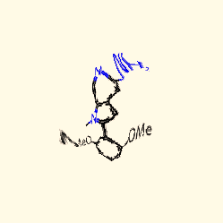 COc1cccc(OC)c1-c1cc2cc(N)ncc2n1C